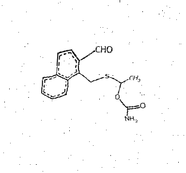 CC(OC(N)=O)SCc1c(C=O)ccc2ccccc12